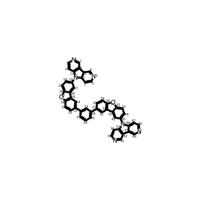 C1=CC2C(C=N1)c1cnccc1N2c1ccc2oc3ccc(-c4cccc(-c5ccc6oc7ccc(-n8c9ccncc9c9cnccc98)cc7c6c5)c4)cc3c2c1